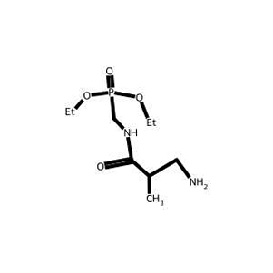 CCOP(=O)(CNC(=O)C(C)CN)OCC